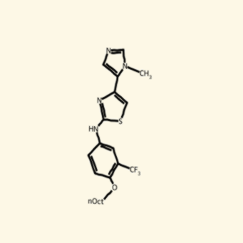 CCCCCCCCOc1ccc(Nc2nc(-c3cncn3C)cs2)cc1C(F)(F)F